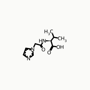 CC(C)[C@H](NC(=O)Cn1ccnc1)C(=O)O